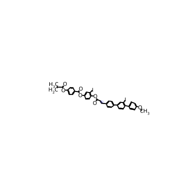 C=C(C)C(=O)Oc1ccc(C(=O)Oc2ccc(OC(=O)/C=C/c3ccc(-c4ccc(-c5ccc(OC)cc5)c(I)c4)cc3)c(I)c2)cc1